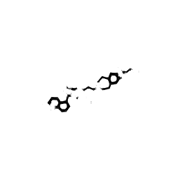 Cc1ccc2c(-c3nnc(SCCCN4CCc5cc6nc(CC(F)(F)F)oc6cc5CC4)n3C)cccc2n1.Cl